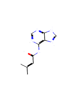 CC(C)=CC(=O)Nc1ncnc2[nH]cnc12